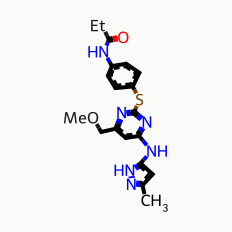 CCC(=O)Nc1ccc(Sc2nc(COC)cc(Nc3cc(C)n[nH]3)n2)cc1